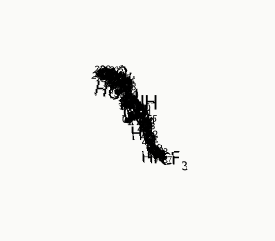 C=CC(=O)Nc1cc(Nc2nc(-c3ccnc(N4CCn5c(cc6c5CC(C)(C)C6)C4=O)c3CO)cn(C)c2=O)ccc1N1CCN(C2CCN(c3cnc4[nH]c(C(F)(F)F)cc4c3)CC2)C[C@@H]1C